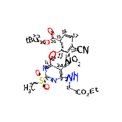 CCOC(=O)CNc1nc(S(C)(=O)=O)nc(Oc2cc(C#N)ccc2C(=O)OC(C)(C)C)c1[N+](=O)[O-]